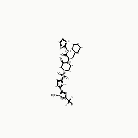 Cn1nc(C(F)(F)F)cc1-c1ccc(S(=O)(=O)N2CCN([C@@H](CC3CCCCC3)C(=O)Nc3nccs3)C(=O)C2)s1